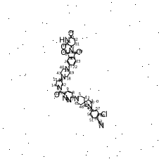 C[C@H]1CC2(CCN(c3ccc(C(=O)N4CC[C@@H](N5CCN(c6ccc7c(c6)C(=O)N(C6CCC(=O)NC6=O)C7=O)CC5)C4)nn3)CC2)CN1c1ccc(C#N)c(Cl)c1